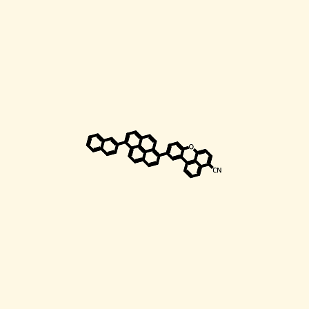 N#Cc1ccc2c3c(cccc13)-c1cc(-c3ccc4ccc5c(-c6ccc7ccccc7c6)ccc6ccc3c4c65)ccc1O2